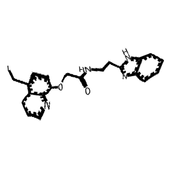 O=C(COc1ccc(CI)c2cccnc12)NCCc1nc2ccccc2[nH]1